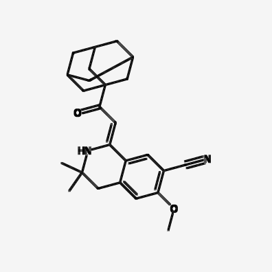 COc1cc2c(cc1C#N)C(=CC(=O)C13CC4CC(CC(C4)C1)C3)NC(C)(C)C2